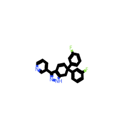 Fc1cccc(C2(c3cccc(F)c3)C=Cc3c(-c4cccnc4)n[nH]c3C2)c1